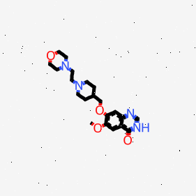 COc1cc2c(=O)[nH]cnc2cc1OCC1CCN(CCN2CCOCC2)CC1